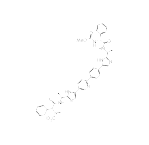 COC(=O)N[C@@H](C(=O)N[C@@H](C)c1ncc(-c2ccc(-c3ccc(-c4cnc([C@H](C)NC(=O)[C@@H](C5C=CC=CC5)N(C)C(=O)O)[nH]4)cn3)cc2)[nH]1)c1ccccc1